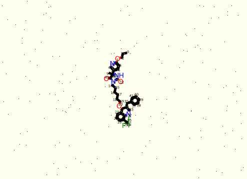 CCCOc1ccc(C2(C)NC(=O)N(CCCCCCOC3c4cccc(C(F)(F)F)c4N=CC3Cc3ccccc3)C2=O)cn1